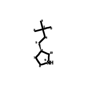 CC(C)(C)CC[C@H]1CCNC1